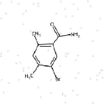 Cc1cc(C)c(C(N)=O)cc1Br